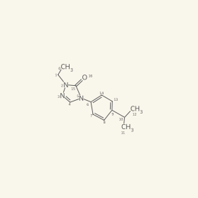 CCn1ncn(-c2ccc(C(C)C)cc2)c1=O